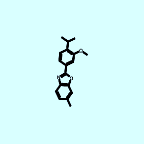 COc1cc(-c2nc3ccc(C)cc3o2)ccc1C(C)C